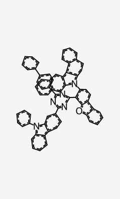 c1ccc(-c2ccc(-c3nc(-c4ccc5c6ccccc6n(-c6ccccc6)c5c4)nc(-c4c(-n5c6cc7ccccc7cc6c6c7ccccc7ccc65)ccc5c4oc4ccccc45)n3)cc2)cc1